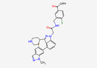 COC(=O)c1ccc(F)c(CNC(=O)Cn2nc(C3CCNCC3)c3c(-c4cc5c(cnn5C)cc4F)cccc32)c1